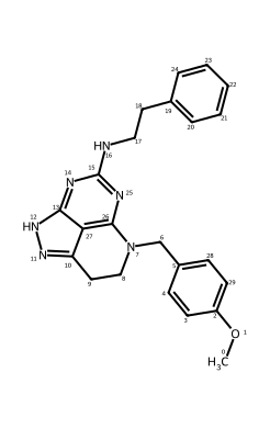 COc1ccc(CN2CCc3n[nH]c4nc(NCCc5ccccc5)nc2c34)cc1